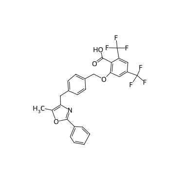 Cc1oc(-c2ccccc2)nc1Cc1ccc(COc2cc(C(F)(F)F)cc(C(F)(F)F)c2C(=O)O)cc1